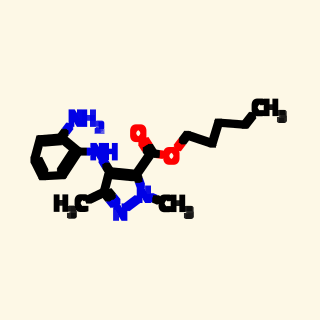 CCCCCOC(=O)c1c(Nc2ccccc2N)c(C)nn1C